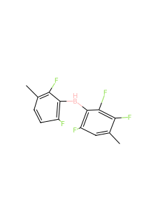 Cc1cc(F)c(Bc2c(F)ccc(C)c2F)c(F)c1F